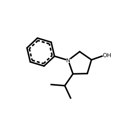 CC(C)C1CC(O)CN1c1ccccc1